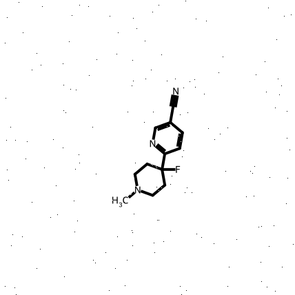 CN1CCC(F)(c2ccc(C#N)cn2)CC1